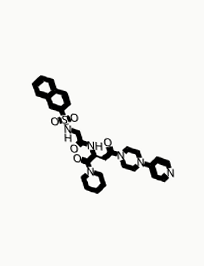 O=C(CNS(=O)(=O)c1ccc2ccccc2c1)N[C@@H](CC(=O)N1CCN(c2ccncc2)CC1)C(=O)N1CCCCC1